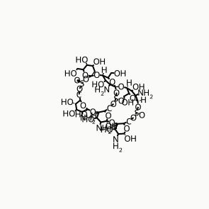 NC1C(O)[C@@H]2O[C@@]34OC(CO)[C@@H](O[C@]5(CC(O)[C@H](O)C(CO)O5)OS(=O)OCC5O[C@@](O)(O[C@@H]6C(COS(=O)O3)O[C@@](O)(O[C@@H]3C(COS(=O)O[C@H]1OC2CO)O[C@H](O)C(N)C3O)C(N)C6O)C(N)C(O)[C@@H]5O)C(O)C4N